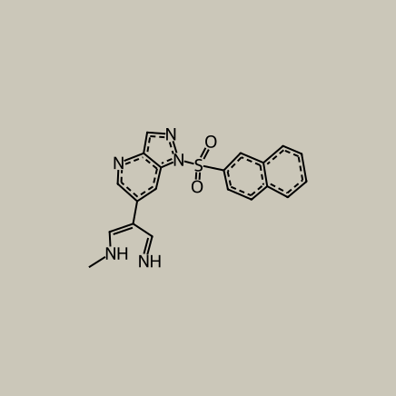 CN/C=C(\C=N)c1cnc2cnn(S(=O)(=O)c3ccc4ccccc4c3)c2c1